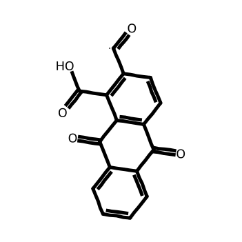 O=[C]c1ccc2c(c1C(=O)O)C(=O)c1ccccc1C2=O